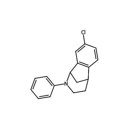 Clc1ccc2c(c1)C1CC2CCN1c1ccccc1